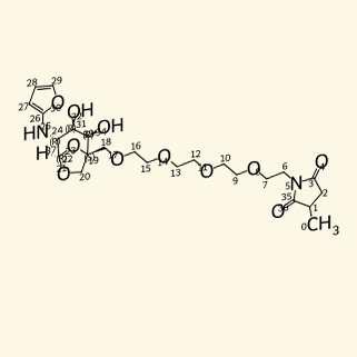 CC1CC(=O)N(CCOCCOCCOCCOC[C@@]23CO[C@H](O2)[C@H](Nc2ccco2)[C@@H](O)[C@H]3O)C1=O